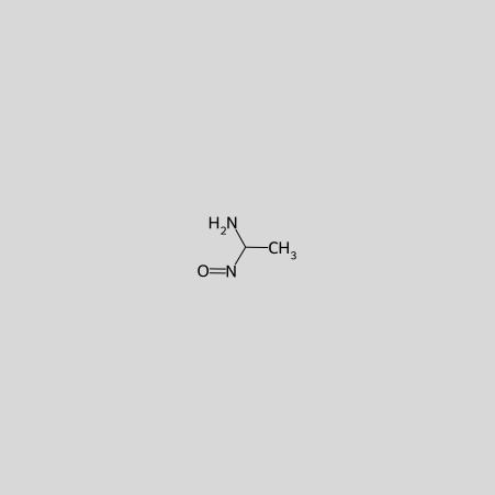 CC(N)N=O